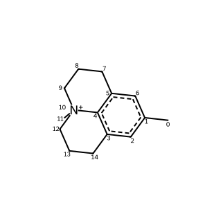 Cc1cc2c3c(c1)CCC[N+]3(C)CCC2